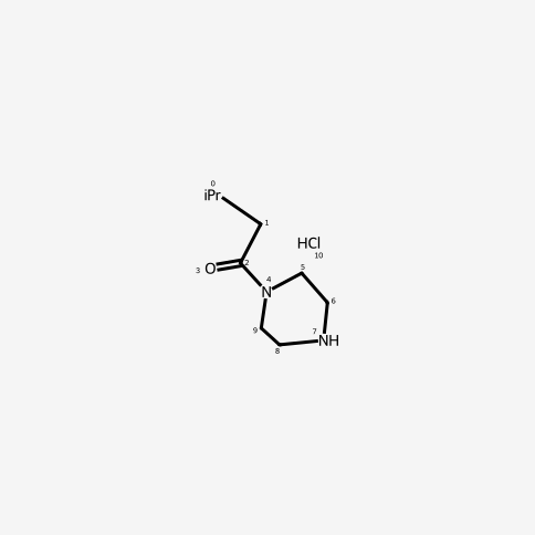 CC(C)CC(=O)N1CCNCC1.Cl